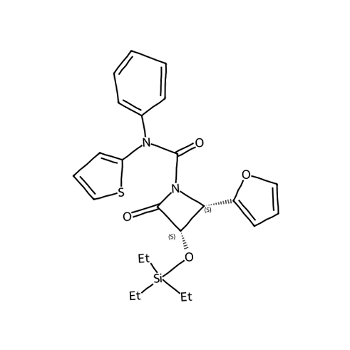 CC[Si](CC)(CC)O[C@@H]1C(=O)N(C(=O)N(c2ccccc2)c2cccs2)[C@@H]1c1ccco1